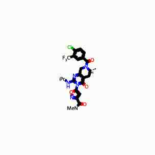 CNC(=O)c1cc(-n2c(NC(C)C)nc3c(c2=O)C[C@@H](C)N(C(=O)c2ccc(Cl)c(C(F)(F)F)c2)C3)on1